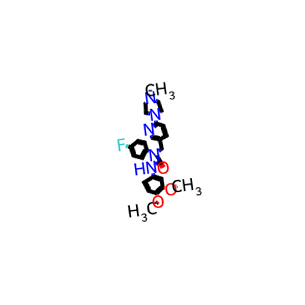 COc1ccc(NC(=O)N(Cc2ccc(N3CCN(C)CC3)nc2)c2ccc(F)cc2)cc1OC